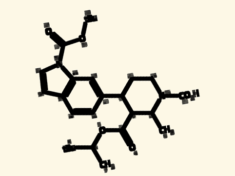 CC1C(C(=O)OC(C)C(C)(C)C)C(c2ccc3ccn(C(=O)OC(C)(C)C)c3c2)CCN1C(=O)O